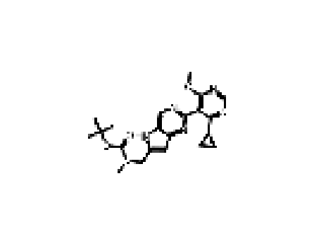 COc1ncnc(C2CC2)c1-c1ncc2[nH]c(CN(C)C(=O)OC(C)(C)C)cc2n1